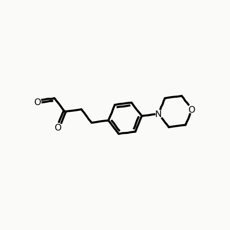 O=CC(=O)CCc1ccc(N2CCOCC2)cc1